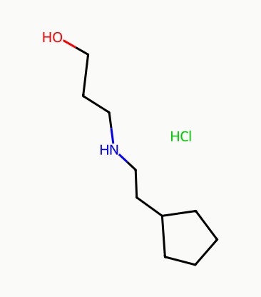 Cl.OCCCNCCC1CCCC1